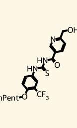 CCCCCOc1ccc(NC(=S)NC(=O)c2ccc(CO)nc2)cc1C(F)(F)F